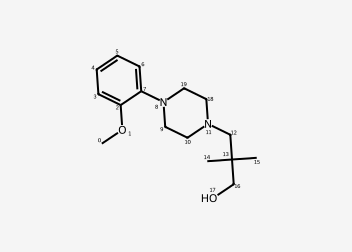 COc1ccccc1N1CCN(CC(C)(C)CO)CC1